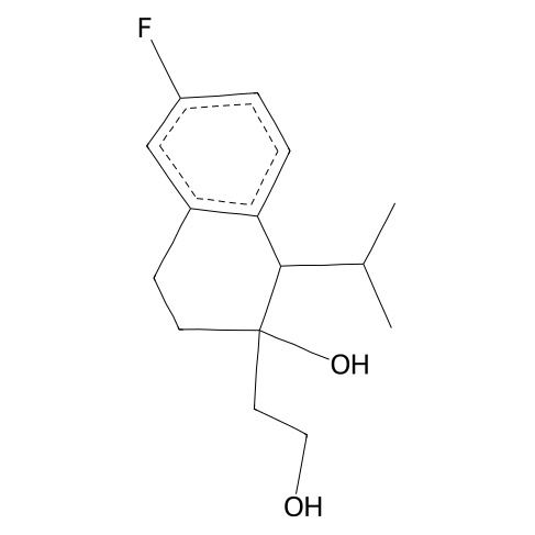 CC(C)C1c2ccc(F)cc2CCC1(O)CCO